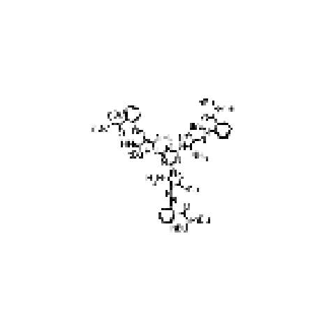 CCCCN(CCCC)C(=O)c1ccccc1/N=N/C(C(=N)C(C)(C)C)=C(\N)Nc1nc(-n2nc(C(C)(C)C)c(/N=N/c3ccccc3C(=O)N(CCCC)CCCC)c2N)nc(-n2nc(C(C)(C)C)c(/N=N/c3ccccc3C(=O)N(CCCC)CCCC)c2N)n1